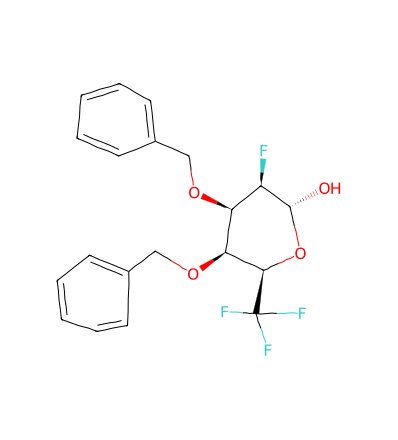 O[C@@H]1O[C@@H](C(F)(F)F)[C@@H](OCc2ccccc2)[C@@H](OCc2ccccc2)[C@H]1F